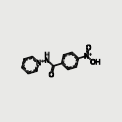 O=C(N[n+]1ccccc1)c1ccc([N+](=O)O)cc1